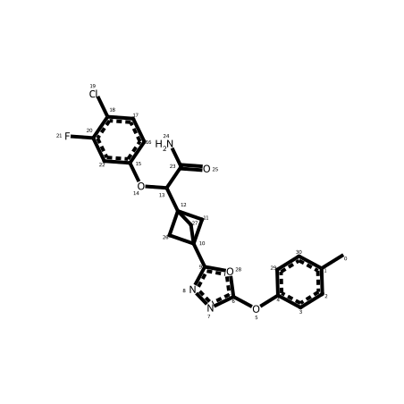 Cc1ccc(Oc2nnc(C34CC(C(Oc5ccc(Cl)c(F)c5)C(N)=O)(C3)C4)o2)cc1